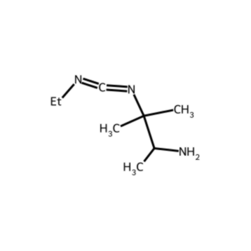 CCN=C=NC(C)(C)C(C)N